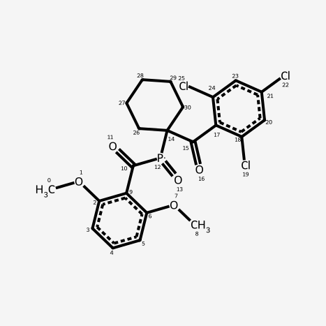 COc1cccc(OC)c1C(=O)[P](=O)C1(C(=O)c2c(Cl)cc(Cl)cc2Cl)CCCCC1